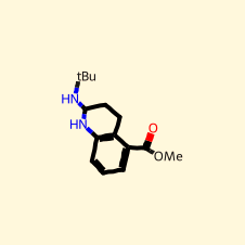 COC(=O)c1cccc2c1CCC(NC(C)(C)C)N2